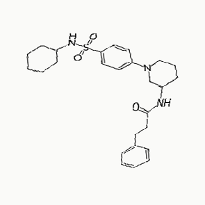 O=C(CCc1ccccc1)NC1CCCN(c2ccc(S(=O)(=O)NC3CCCCC3)cc2)C1